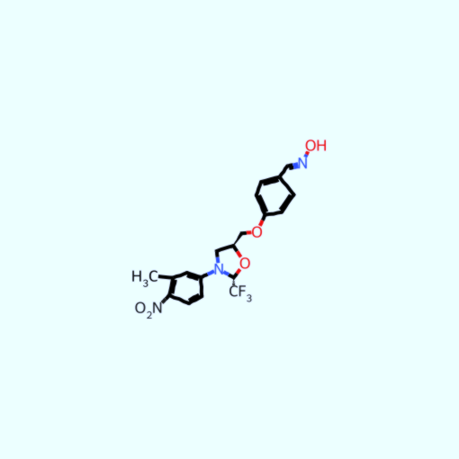 Cc1cc(N2C[C@@H](COc3ccc(/C=N/O)cc3)O[C@@H]2C(F)(F)F)ccc1[N+](=O)[O-]